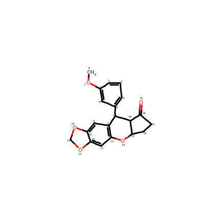 COc1cccc(C2c3cc4c(cc3OC3CCC(=O)C32)OCO4)c1